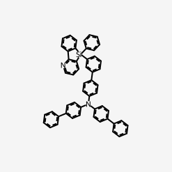 c1ccc(-c2ccc(N(c3ccc(-c4ccccc4)cc3)c3ccc(-c4cccc([Si]5(c6ccccc6)c6ccccc6-c6ncccc65)c4)cc3)cc2)cc1